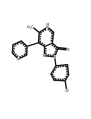 Cc1[nH]cc2c(=O)n(-c3ccc(Cl)cc3)nc-2c1-c1cccnc1